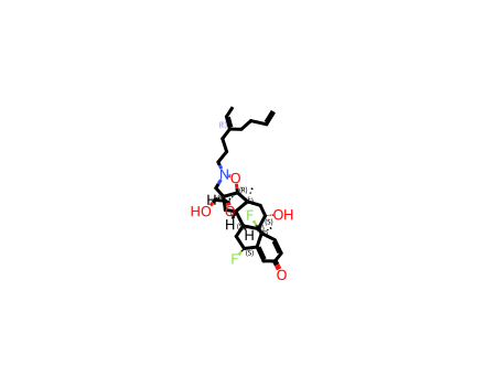 C=CCC/C(=C\C)CCCN1C[C@@H]2C[C@H]3[C@@H]4C[C@H](F)C5=CC(=O)C=C[C@]5(C)[C@@]4(F)[C@@H](O)C[C@]3(C)[C@]2(C(=O)CO)O1